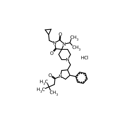 CC(C)N1C(=O)N(CC2CC2)C(=O)C12CCN(CC1CN(C(=O)CC(C)(C)C)CC1c1ccccc1)CC2.Cl